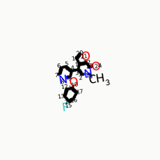 Cn1cc(-c2cccnc2Oc2ccc(F)cc2)c2ccoc2c1=O